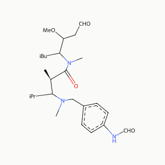 CCC(C)C(C(CC=O)OC)N(C)C(=O)[C@H](C)C(C(C)C)N(C)Cc1ccc(NC=O)cc1